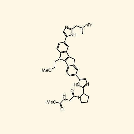 CCCN(C)Cc1ncc(-c2ccc3c(c2)c2c(n3CCOC)-c3ccc(-c4cnc(C5CCCN5C(=O)CNC(=O)OC)[nH]4)cc3C2)[nH]1